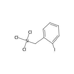 Cl[Si](Cl)(Cl)Cc1ccccc1I